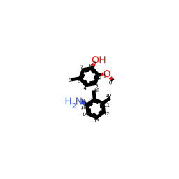 COc1ccc(C)cc1O.Cc1cccc(N)c1C